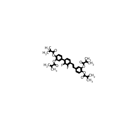 C=C(C)C(=O)Oc1ccc(/C=C/c2ccc(-c3ccc(OC(=O)C(=C)C)c(OC(=O)C(=C)C)c3)c(F)c2F)cc1OC(=O)C(=C)C